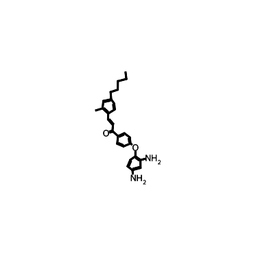 CCCCCc1ccc(C=CC(=O)c2ccc(Oc3ccc(N)cc3N)cc2)c(C)c1